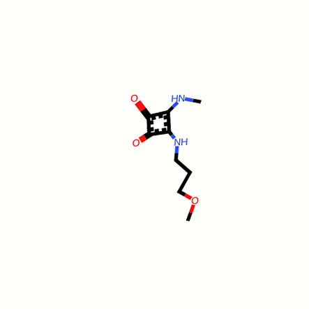 CNc1c(NCCCOC)c(=O)c1=O